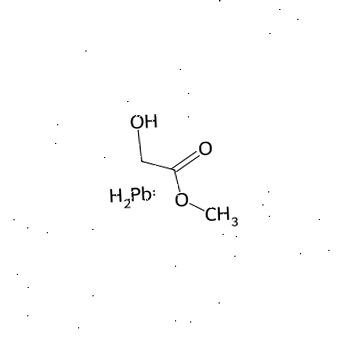 COC(=O)CO.[PbH2]